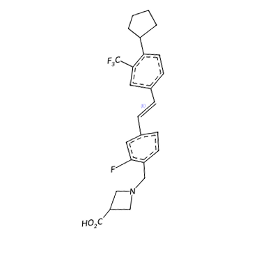 O=C(O)C1CN(Cc2ccc(/C=C/c3ccc(C4CCCC4)c(C(F)(F)F)c3)cc2F)C1